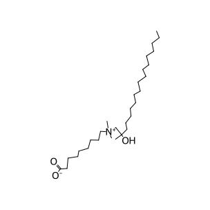 CCCCCCCCCCCCCCCCC(C)(O)C[N+](C)(C)CCCCCCCCC(=O)[O-]